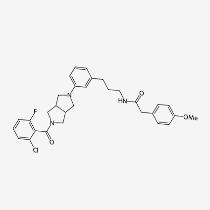 COc1ccc(CC(=O)NCCCc2cccc(N3CC4CN(C(=O)c5c(F)cccc5Cl)CC4C3)c2)cc1